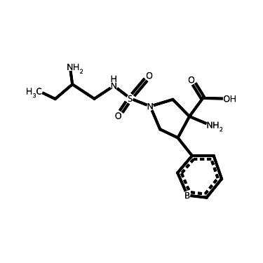 CCC(N)CNS(=O)(=O)N1CC(c2cbccc2)C(N)(C(=O)O)C1